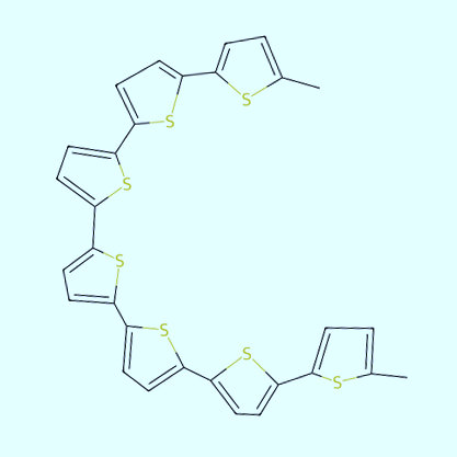 Cc1ccc(-c2ccc(-c3ccc(-c4ccc(-c5ccc(-c6ccc(-c7ccc(C)s7)s6)s5)s4)s3)s2)s1